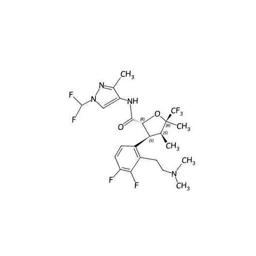 Cc1nn(C(F)F)cc1NC(=O)[C@@H]1O[C@@](C)(C(F)(F)F)[C@@H](C)[C@H]1c1ccc(F)c(F)c1CCN(C)C